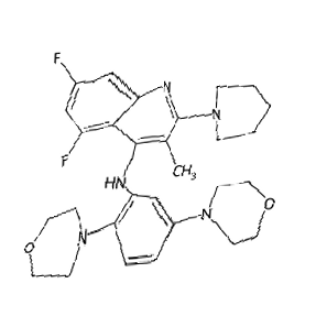 Cc1c(N2CCCCC2)nc2cc(F)cc(F)c2c1Nc1cc(N2CCOCC2)ccc1N1CCOCC1